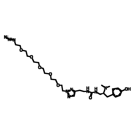 CN(C)[C@H](CNC(=O)NCCc1cnn(CCOCCOCCOCCOCCOCCN=[N+]=[N-])n1)Cc1ccc(O)cc1